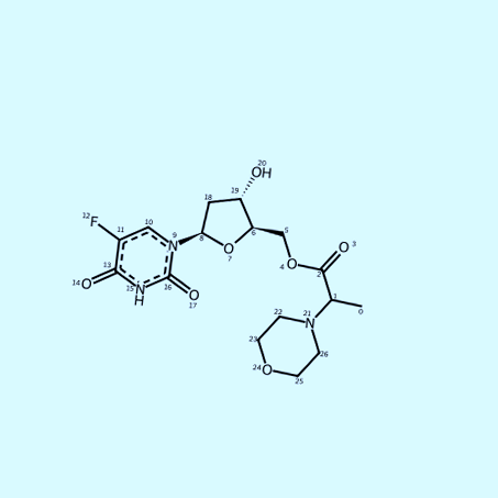 CC(C(=O)OC[C@H]1O[C@@H](n2cc(F)c(=O)[nH]c2=O)C[C@@H]1O)N1CCOCC1